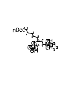 CCCCCCCCCCCCCCCCCC[N+](C)(C)C.[O-][Cl+3]([O-])([O-])O